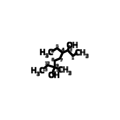 CCC(O)C(CC)CCC(C)(O)CC